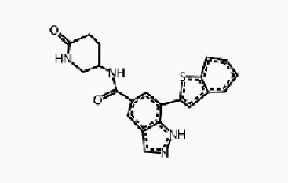 O=C1CCC(NC(=O)c2cc(-c3cc4ccccc4s3)c3[nH]ncc3c2)CN1